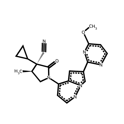 COc1ccnc(-c2cc3c(N4C[C@@H](C)[C@@](C#N)(C5CC5)C4=O)ccnn3c2)n1